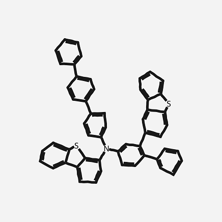 c1ccc(-c2ccc(-c3ccc(N(c4ccc(-c5ccccc5)c(-c5ccc6sc7ccccc7c6c5)c4)c4cccc5c4sc4ccccc45)cc3)cc2)cc1